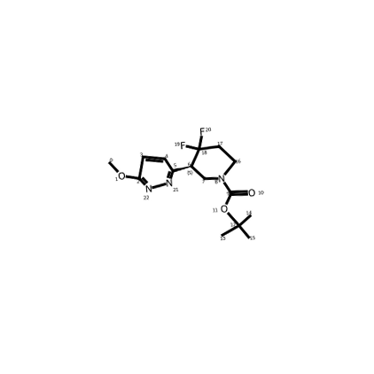 COc1ccc([C@@H]2CN(C(=O)OC(C)(C)C)CCC2(F)F)nn1